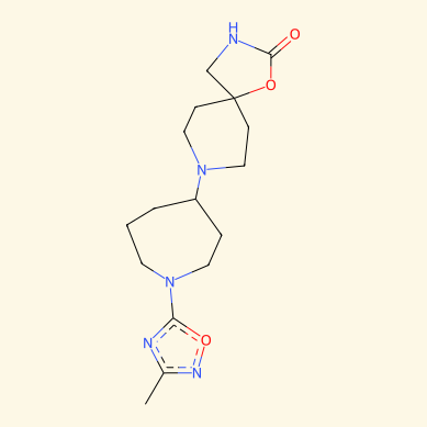 Cc1noc(N2CCCC(N3CCC4(CC3)CNC(=O)O4)CC2)n1